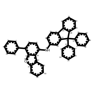 c1ccc(-c2ccc(Nc3ccc4c(c3)C(c3ccccc3)(c3ccccc3)c3ccccc3-4)c3c2oc2ccccc23)cc1